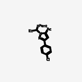 CCCCCC(CC)n1nc(-c2ccc(Cl)cc2)cc1C(C)=O